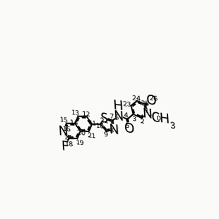 Cn1cc(C(=O)Nc2ncc(-c3ccc4cnc(F)cc4c3)s2)ccc1=O